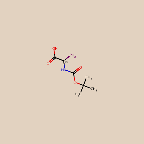 CC(C)(C)OC(=O)N[C@H](P)C(=O)O